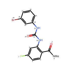 CNC(=O)c1ccc(F)cc1NC(=O)Nc1cccc(Br)c1